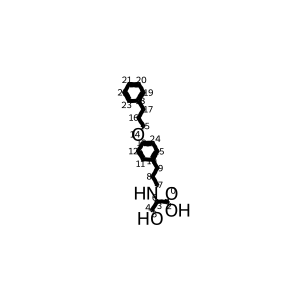 O=C(O)C(CO)NCCCc1ccc(OCCCc2ccccc2)cc1